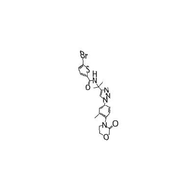 Cc1cc(-n2cc(C(C)(C)NC(=O)c3ccc(Br)s3)nn2)ccc1N1CCOCC1=O